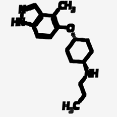 CCCN[C@H]1CC[C@H](Oc2ccc3[nH]ncc3c2C)CC1